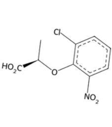 C[C@@H](Oc1c(Cl)cccc1[N+](=O)[O-])C(=O)O